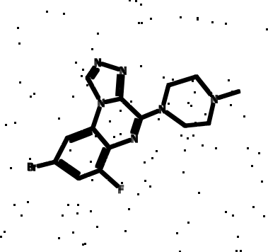 CN1CCN(c2nc3c(F)cc(Br)cc3n3cnnc23)CC1